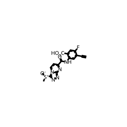 C#Cc1cc(NC(=O)c2ccn3c([S+](C)[O-])nnc3n2)c(C(=O)O)cc1F